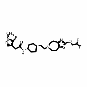 Cn1ncc(CC(=O)N[C@H]2CC[C@H](CCN3CCc4nc(OCC(F)F)sc4CC3)CC2)c1F